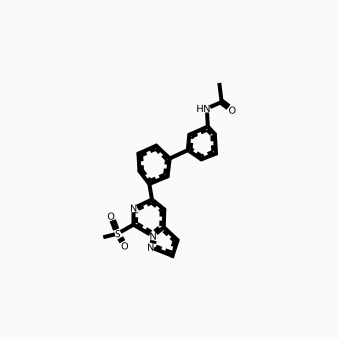 CC(=O)Nc1cccc(-c2cccc(-c3cc4ccnn4c(S(C)(=O)=O)n3)c2)c1